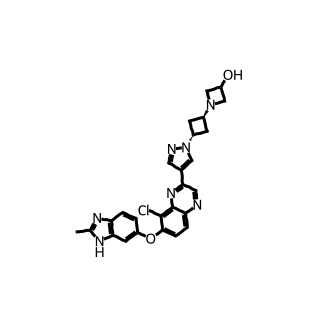 Cc1nc2ccc(Oc3ccc4ncc(-c5cnn([C@H]6C[C@H](N7CC(O)C7)C6)c5)nc4c3Cl)cc2[nH]1